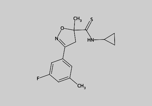 Cc1cc(F)cc(C2=NOC(C)(C(=S)NC3CC3)C2)c1